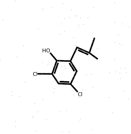 CC(C)=Cc1cc(Cl)cc(Cl)c1O